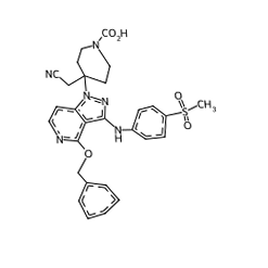 CS(=O)(=O)c1ccc(Nc2nn(C3(CC#N)CCN(C(=O)O)CC3)c3ccnc(OCc4ccccc4)c23)cc1